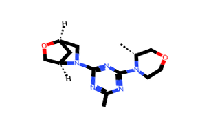 Cc1nc(N2C[C@H]3C[C@@H]2CO3)nc(N2CCOC[C@H]2C)n1